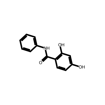 O=C(Nc1ccccc1)c1ccc(O)cc1O